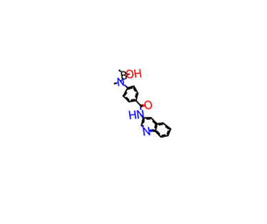 CB(O)N(C)c1ccc(C(=O)Nc2cnc3ccccc3c2)cc1